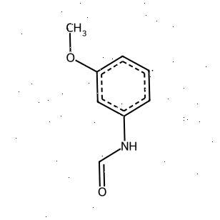 COc1c[c]cc(NC=O)c1